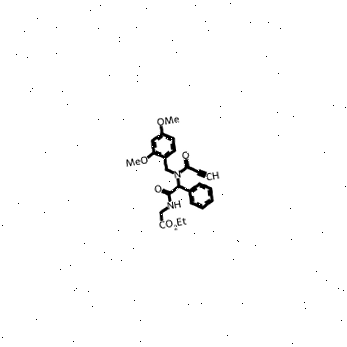 C#CC(=O)N(Cc1ccc(OC)cc1OC)C(C(=O)NCC(=O)OCC)c1ccccc1